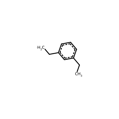 [CH2]Cc1cccc(CC)c1